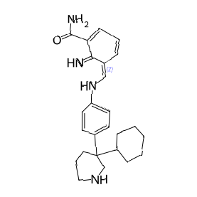 N=C1C(C(N)=O)=CC=C/C1=C/Nc1ccc(C2(C3CCCCC3)CCCNC2)cc1